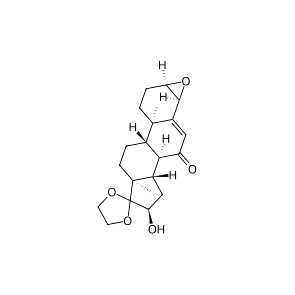 C[C@]12CC[C@H]3O[C@H]3C1=CC(=O)[C@@H]1[C@@H]2CC[C@@]2(C)[C@H]1C[C@@H](O)C21OCCO1